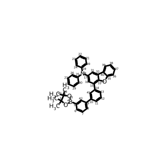 CC1(C)OB(c2cccc(-c3cccc(-c4cc(N(c5ccccc5)c5ccccc5)cc5c4oc4ccccc45)c3)c2)OC1(C)C